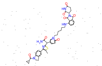 Cc1sc(C(C(N)=O)c2ccc(=O)n(CCCCCCNc3cccc4c3C(=O)N(C3CCC(=O)NC3=O)C4=O)c2)nc1-c1ccc2c(c1)CCN2C(=O)C1CC1